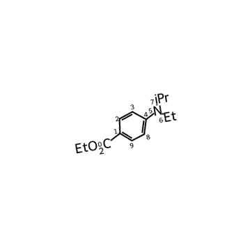 CCOC(=O)c1ccc(N(CC)C(C)C)cc1